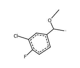 [CH2]C(OC)c1ccc(F)c(Cl)c1